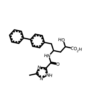 Cc1n[nH]c(C(=O)NC(Cc2ccc(-c3ccccc3)cc2)CC(O)C(=O)O)n1